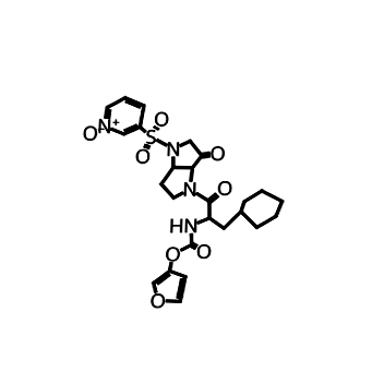 O=C(NC(CC1CCCCC1)C(=O)N1CCC2C1C(=O)CN2S(=O)(=O)c1ccc[n+]([O-])c1)Oc1ccoc1